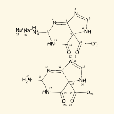 NC1N=C2N=CNC2(C(=O)[O-])C(=O)N1.NC1N=C2N=CNC2(C(=O)[O-])C(=O)N1.[Na+].[Na+]